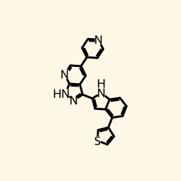 c1cc(-c2ccsc2)c2cc(-c3n[nH]c4ncc(-c5ccncc5)cc34)[nH]c2c1